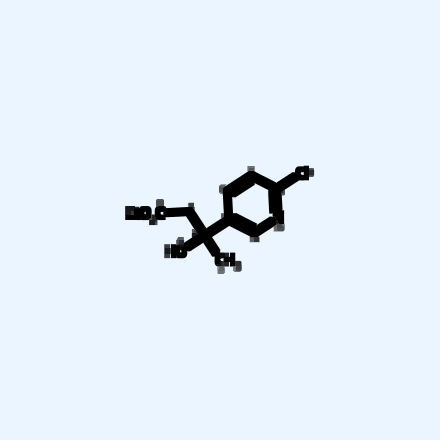 CCOC(=O)CC(C)(O)c1ccc(Cl)nc1